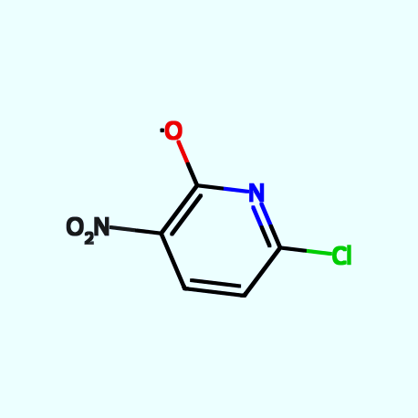 [O]c1nc(Cl)ccc1[N+](=O)[O-]